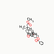 CCOC(=O)CCC(C)[C@H]1CC[C@H]2[C@@H]3C(=O)C=C4C[C@H](OC(=O)c5ccccc5)CC[C@]4(C)[C@H]3CC[C@]12C